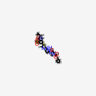 Cc1nc(Nc2cccc(N3CCN(C(=O)OCc4ccccc4)CC3=O)n2)sc1-c1cc2c(c(S(C)(=O)=O)c1)C(=O)N([C@@H](C)C1CC1)C2